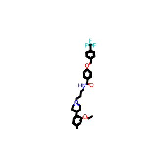 CCOc1cc(C)ccc1C1CCN(CCCCNC(=O)c2ccc(OCc3ccc(C(F)(F)F)cc3)cc2)CC1